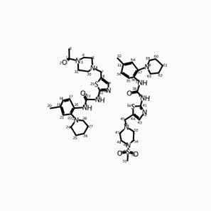 CC(=O)N1CCN(Cc2cnc(NC(=O)Nc3ccc(C)cc3N3CCCCC3)s2)CC1.Cc1ccc(NC(=O)Nc2ncc(CN3CCN(S(C)(=O)=O)CC3)s2)c(N2CCCCC2)c1